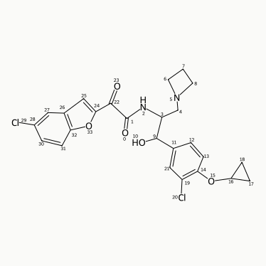 O=C(NC(CN1CCC1)C(O)c1ccc(OC2CC2)c(Cl)c1)C(=O)c1cc2cc(Cl)ccc2o1